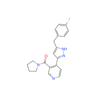 O=C(c1cnccc1-c1cc(Cc2ccc(F)cc2)[nH]n1)N1CCCC1